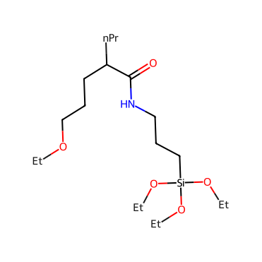 [CH2]CCC(CCCOCC)C(=O)NCCC[Si](OCC)(OCC)OCC